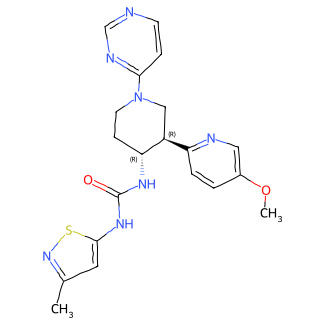 COc1ccc([C@@H]2CN(c3ccncn3)CC[C@H]2NC(=O)Nc2cc(C)ns2)nc1